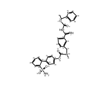 CC(OC(=O)NC(=N)c1cccc(CN(C)C(=O)Oc2ccc(-c3ccccc3S(N)(=O)=O)cc2)c1)c1ccccn1